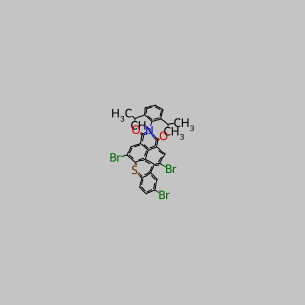 CC(C)c1cccc(C(C)C)c1-n1c(=O)c2cc(Br)c3sc4ccc(Br)cc4c4c(Br)cc(c1=O)c2c34